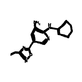 Cc1noc(-c2cnc(NC3CCCCC3)c(N)c2)n1